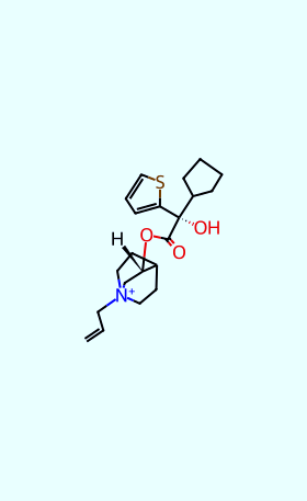 C=CC[N+]12CCC(CC1)[C@@H](OC(=O)[C@@](O)(c1cccs1)C1CCCC1)C2